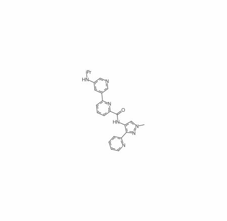 CC(C)Nc1cncc(-c2cccc(C(=O)Nc3cn(C)nc3-c3ccccn3)n2)c1